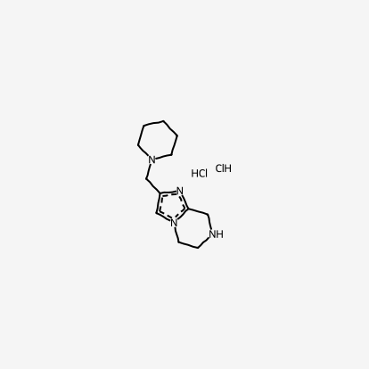 Cl.Cl.c1c(CN2CCCCC2)nc2n1CCNC2